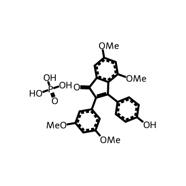 COc1cc(OC)cc(C2=C(c3ccc(O)cc3)c3c(OC)cc(OC)cc3C2=O)c1.O=P(O)(O)O